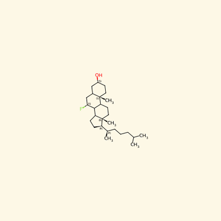 CC(C)CCC[C@@H](C)[C@H]1CCC2C3C(CC[C@@]21C)[C@@]1(C)CC[C@H](O)CC1C[C@@H]3F